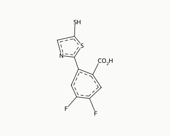 O=C(O)c1cc(F)c(F)cc1-c1ncc(S)s1